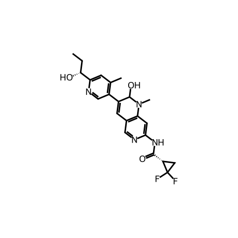 CC[C@@H](O)c1cc(C)c(C2=Cc3cnc(NC(=O)[C@@H]4CC4(F)F)cc3N(C)C2O)cn1